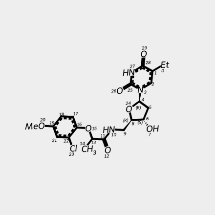 CCc1cn([C@H]2C[C@H](O)[C@@H](CNC(=O)C(C)Oc3ccc(OC)cc3Cl)O2)c(=O)[nH]c1=O